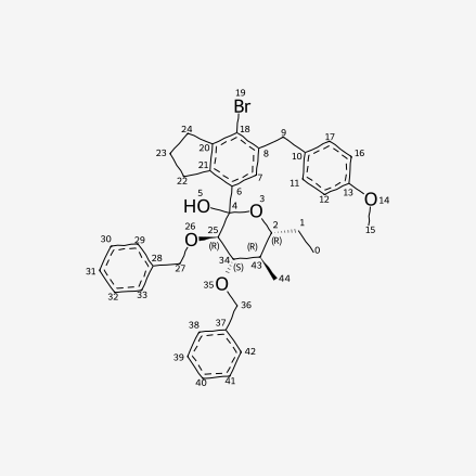 CC[C@H]1OC(O)(c2cc(Cc3ccc(OC)cc3)c(Br)c3c2CCC3)[C@H](OCc2ccccc2)[C@@H](OCc2ccccc2)[C@@H]1C